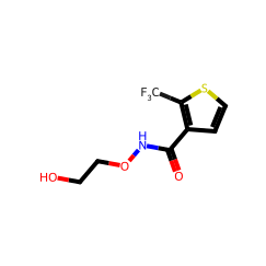 O=C(NOCCO)c1ccsc1C(F)(F)F